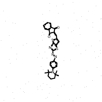 CC1(C)CCCC(C)(C)N1c1ccc(/N=N/c2nc3sc(C=C4C(=O)c5ccccc5C4=O)cc3s2)cc1